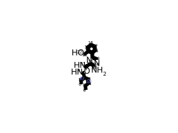 C/C=C(\C=C/CC)C(=N)OC(=N)c1nc(-c2ccccc2CO)cnc1N